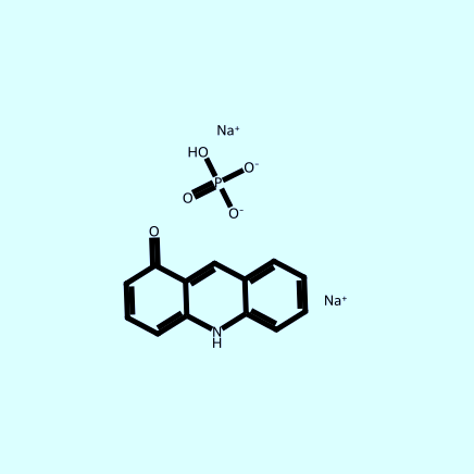 O=P([O-])([O-])O.O=c1cccc2[nH]c3ccccc3cc1-2.[Na+].[Na+]